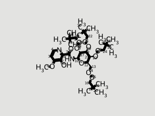 COc1ccnc(C(=O)N[C@@H]2O[C@H](COOCC(C)(C)C)[C@H](OOCC(C)(C)C)[C@H](OOCC(C)(C)C)[C@H]2OOCC(C)(C)C)c1O